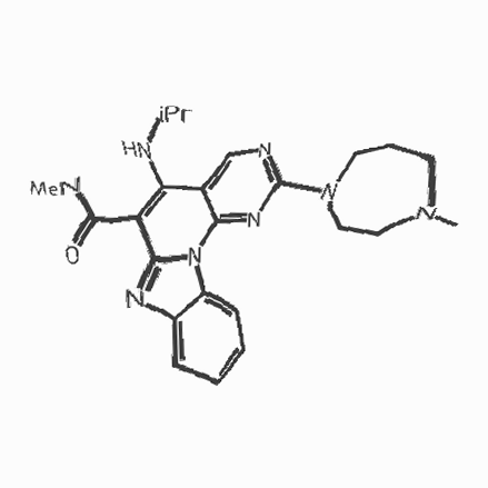 CNC(=O)c1c(NC(C)C)c2cnc(N3CCCN(C)CC3)nc2n2c1nc1ccccc12